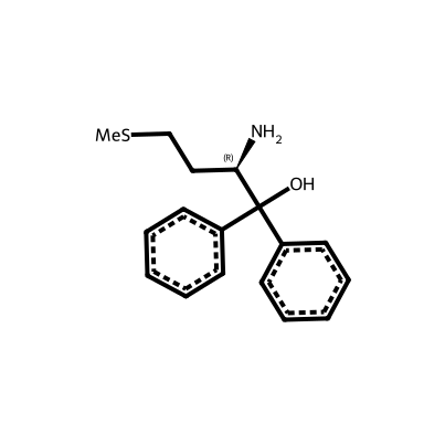 CSCC[C@@H](N)C(O)(c1ccccc1)c1ccccc1